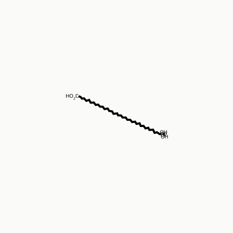 O=C(O)CCCCCCCCCCCCCCCCCCCCCCCCCCCCCCCCCCCCP(=O)(O)O